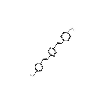 Cc1ccc(/C=C/c2ccc(/C=C/c3ccc(C)cc3)nn2)cc1